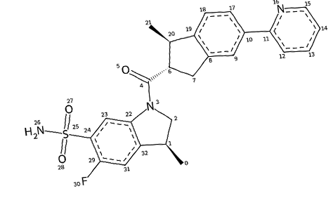 C[C@@H]1CN(C(=O)[C@H]2Cc3cc(-c4ccccn4)ccc3[C@@H]2C)c2cc(S(N)(=O)=O)c(F)cc21